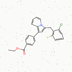 CCOC(=O)c1ccc(-c2cc(Cc3c(F)cccc3Cl)n3ccccc23)cc1